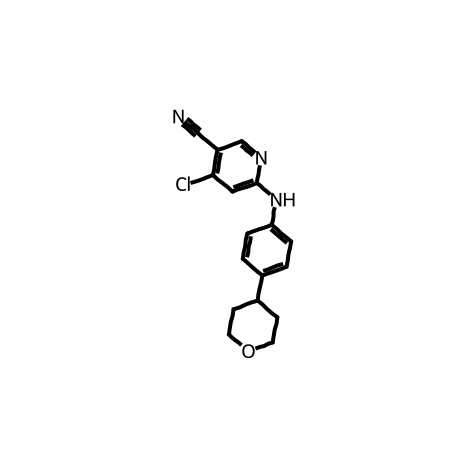 N#Cc1cnc(Nc2ccc(C3CCOCC3)cc2)cc1Cl